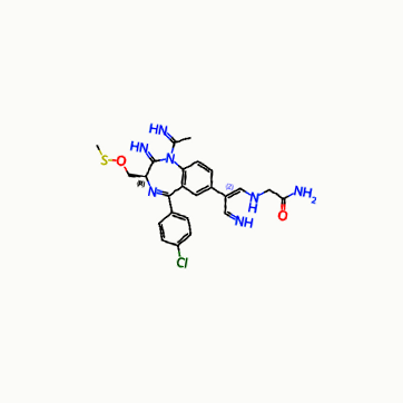 CSOC[C@@H]1N=C(c2ccc(Cl)cc2)c2cc(/C(C=N)=C/NCC(N)=O)ccc2N(C(C)=N)C1=N